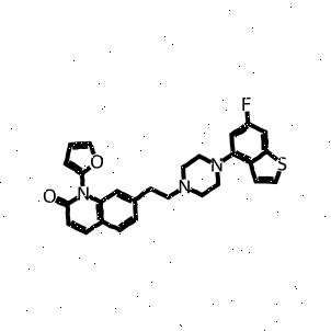 O=c1ccc2ccc(CCN3CCN(c4cc(F)cc5sccc45)CC3)cc2n1-c1ccco1